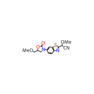 COCC1CN(c2ccc3nc(C(C#N)OC)sc3c2)C(=O)O1